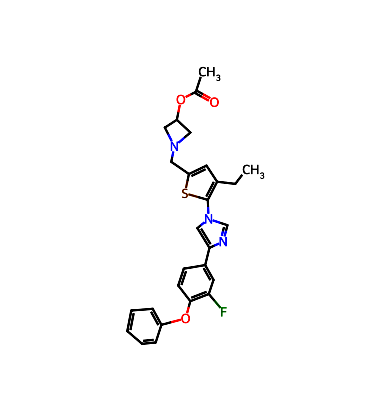 CCc1cc(CN2CC(OC(C)=O)C2)sc1-n1cnc(-c2ccc(Oc3ccccc3)c(F)c2)c1